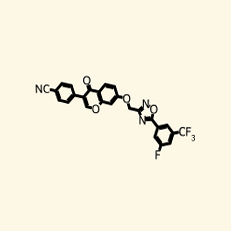 N#Cc1ccc(-c2coc3cc(OCc4noc(-c5cc(F)cc(C(F)(F)F)c5)n4)ccc3c2=O)cc1